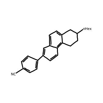 CCCCCCC1CCc2c(ccc3cc(-c4ccc(C#N)cc4)ccc23)C1